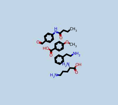 CCCC(=O)Nc1ccc(C=O)cc1.COc1ccc(C(=O)O)cc1.NCCC[C@H](N)C(=O)O.NCCc1ccccc1